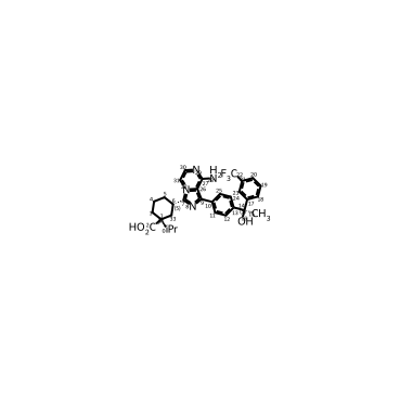 CC(C)[C@@]1(C(=O)O)CCC[C@H](c2nc(-c3ccc([C@](C)(O)c4cccc(C(F)(F)F)c4)cc3)c3c(N)nccn23)C1